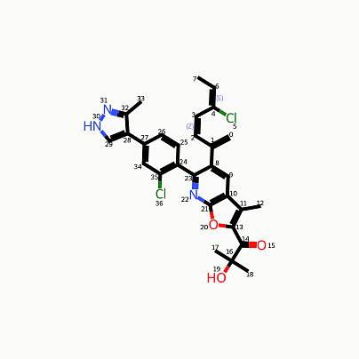 C=C(/C=C\C(Cl)=C/C)c1cc2c(C)c(C(=O)C(C)(C)O)oc2nc1-c1ccc(-c2c[nH]nc2C)cc1Cl